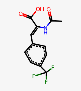 CC(=O)NC(=Cc1ccc(C(F)(F)F)cc1)C(=O)O